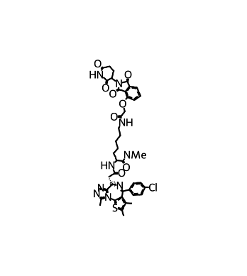 CNC(=O)C(CCCCCNC(=O)COc1cccc2c1C(=O)N(C1CCC(=O)NC1=O)C2=O)NC(=O)C[C@@H]1N=C(c2ccc(Cl)cc2)c2c(sc(C)c2C)-n2c(C)nnc21